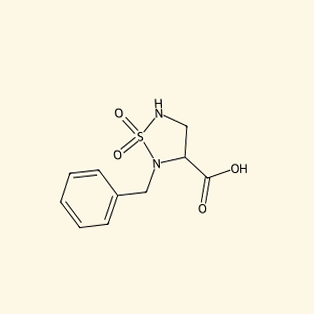 O=C(O)C1CNS(=O)(=O)N1Cc1ccccc1